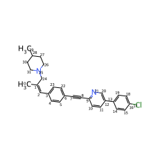 CC(=Cc1ccc(C#Cc2ccc(-c3ccc(Cl)cc3)cn2)cc1)CN1CCC(C)CC1